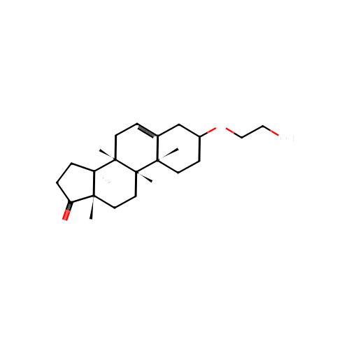 C[C@]12CCC(OCCO)CC1=CC[C@@H]1[C@H]2CC[C@]2(C)C(=O)CC[C@@H]12